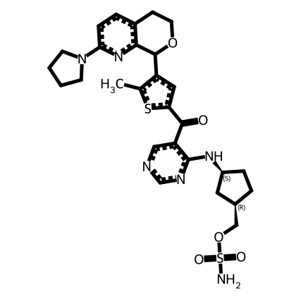 Cc1sc(C(=O)c2cncnc2N[C@H]2CC[C@@H](COS(N)(=O)=O)C2)cc1C1OCCc2ccc(N3CCCC3)nc21